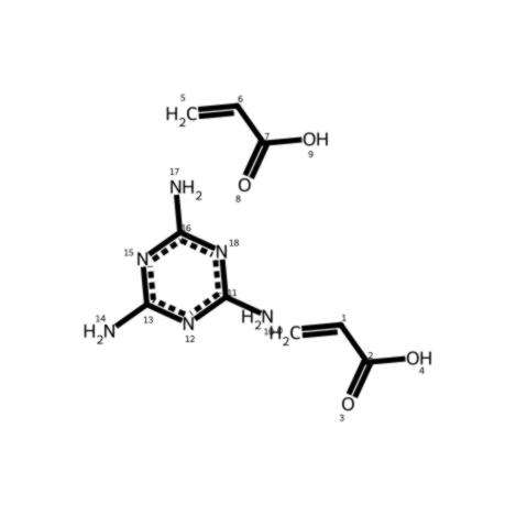 C=CC(=O)O.C=CC(=O)O.Nc1nc(N)nc(N)n1